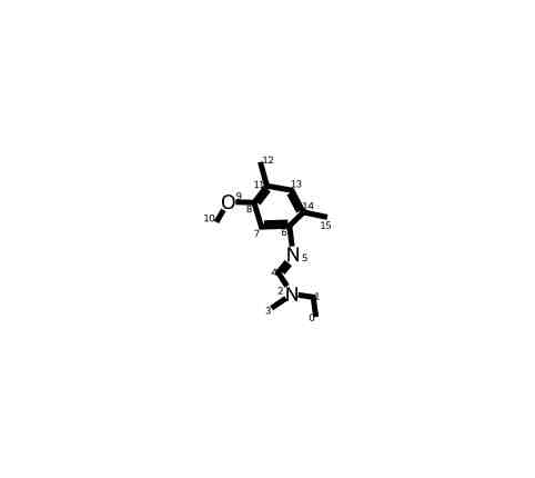 CCN(C)/C=N/c1cc(OC)c(C)cc1C